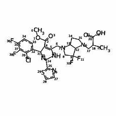 COC(=O)C1=C(CN2CC(F)(F)C3C2CCN3CC(C)C(=O)O)NC(c2nccs2)=NC1c1ccc(F)c(F)c1Cl